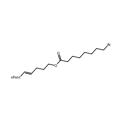 CCCCCC=CCCCOC(=O)CCCCCCCBr